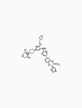 C[C@@H](Cn1cncn1)Oc1cc(-c2cnc(Nc3cn(C4CCC(N5[C@@H]6CC[C@H]5COC6)CC4)nc3OCC3COC3)nc2)ccc1Cl